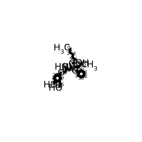 CCCCCCP(=O)(O)C(CCC)(NCC(O)COc1ccc(O)c(CO)c1)Oc1ccccc1